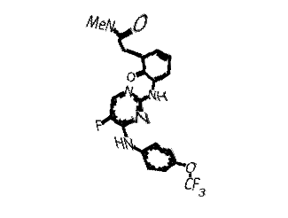 CNC(=O)C=C1C=CC=C(Nc2ncc(F)c(Nc3ccc(OC(F)(F)F)cc3)n2)C1=O